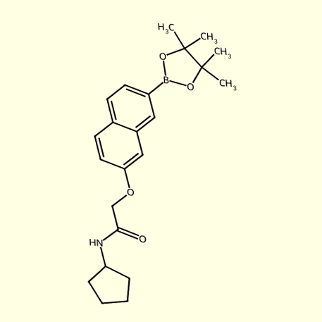 CC1(C)OB(c2ccc3ccc(OCC(=O)NC4CCCC4)cc3c2)OC1(C)C